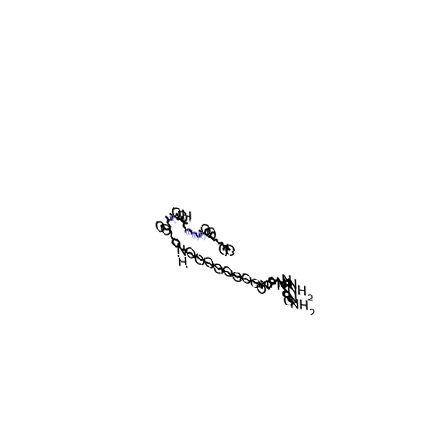 COC(CCCCC(=O)C=O)CC(OC)/C(C)=C/C=C/C=C/C(C)CC(C)C(=O)CC(O)/C(C)=C/C(C)CCC(CCC1CCC(NCCOCCOCCOCCOCCOCCOCCOCCOCC(=O)N2CCc3cc(Cn4nc(-c5ccc6oc(N)nc6c5)c5c(N)ncnc54)ccc3C2)CC1)OC=O